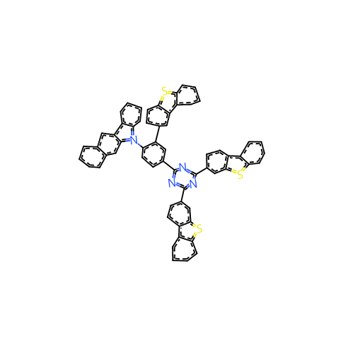 c1ccc2cc3c(cc2c1)c1ccccc1n3-c1ccc(-c2nc(-c3ccc4c(c3)sc3ccccc34)nc(-c3ccc4c(c3)sc3ccccc34)n2)cc1-c1ccc2sc3ccccc3c2c1